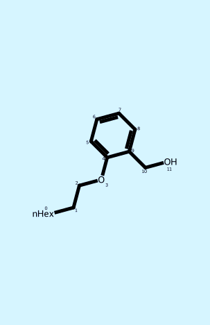 CCCCCCCCOc1ccccc1CO